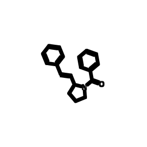 O=C(c1ccccc1)N1CCCC1C=Cc1ccccc1